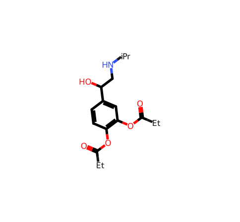 CCC(=O)Oc1ccc(C(O)CNC(C)C)cc1OC(=O)CC